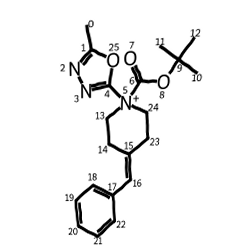 Cc1nnc([N+]2(C(=O)OC(C)(C)C)CCC(=Cc3ccccc3)CC2)o1